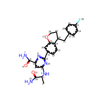 CC(Nc1cc(C(N)=O)nc(-c2ccc3c(c2)OCCC3Cc2ccc(F)cc2)n1)C(N)=O